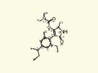 CCc1cc(C(C)CC)cc(C)c1C1=C(OC(=O)N(C)C)C(C)NC1=O